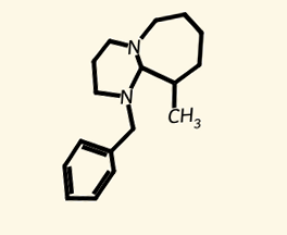 CC1CCCCN2CCCN(Cc3ccccc3)C12